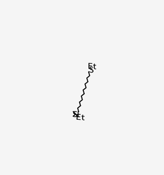 CCSCCCCCCCCCCCCCC[Si](C)(C)CC